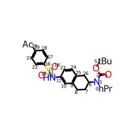 CCCN(C(=O)OC(C)(C)C)C1CCc2cc(NS(=O)(=O)c3ccc(C(C)=O)cc3)ccc2C1